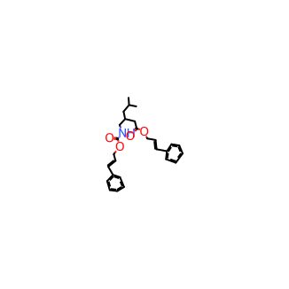 CC(C)CC(CNC(=O)OC/C=C/c1ccccc1)CC(=O)OC/C=C/c1ccccc1